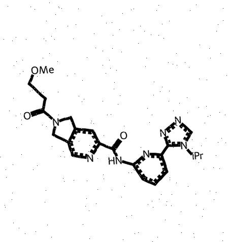 COCCC(=O)N1Cc2cnc(C(=O)Nc3cccc(-c4nncn4C(C)C)n3)cc2C1